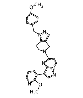 COc1ccc(Cn2ncc3c2CCN(c2ccn4ncc(-c5cccnc5OC)c4n2)C3)cc1